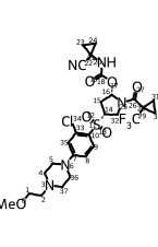 COCCN1CCN(c2ccc(S(=O)(=O)[C@@H]3C[C@H](OC(=O)NC4(C#N)CC4)N(C(=O)C4(C(F)(F)F)CC4)C3)c(Cl)c2)CC1